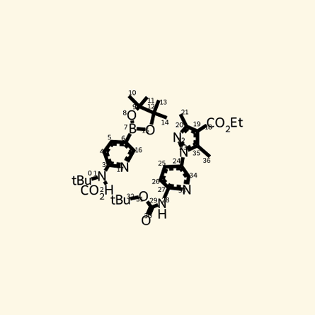 CC(C)(C)N(C(=O)O)c1ccc(B2OC(C)(C)C(C)(C)O2)cn1.CCOC(=O)c1c(C)nn(-c2ccc(NC(=O)OC(C)(C)C)nc2)c1C